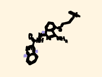 C=C(/C=c1/cccc/c1=C/N)C(=O)N/N=C1\N=C(N)c2c(SCCN(C)C)cccc21